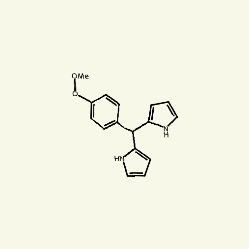 COOc1ccc(C(c2ccc[nH]2)c2ccc[nH]2)cc1